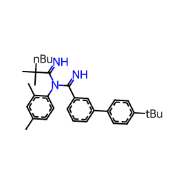 CCCCC(C)(C)C(=N)N(C(=N)c1cccc(-c2ccc(C(C)(C)C)cc2)c1)c1ccc(C)cc1C